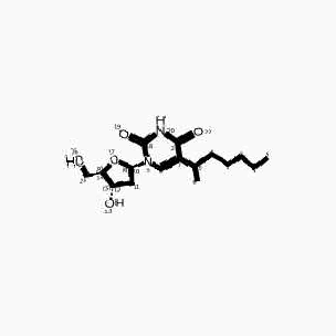 CCCCCC(C)c1cn([C@H]2C[C@H](O)[C@@H](CO)O2)c(=O)[nH]c1=O